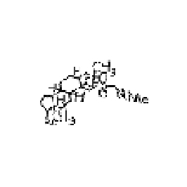 CNCC(=O)O[C@]1(C)CC[C@@]2(C)[C@@H](CC[C@@H]3[C@@H]2CC[C@]2(C)[C@@H](C(C)=O)CC[C@@H]32)C1